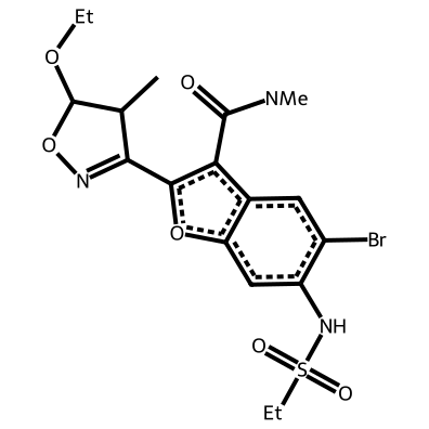 CCOC1ON=C(c2oc3cc(NS(=O)(=O)CC)c(Br)cc3c2C(=O)NC)C1C